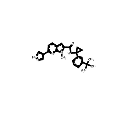 Cn1c(C(=O)NC2(c3cccc(C(C)(C)O)c3)CC2)cc2ccc(-c3cn[nH]c3)nc21